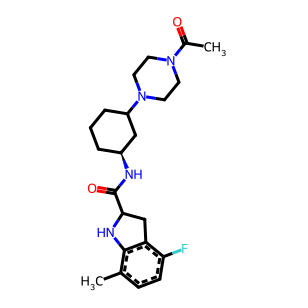 CC(=O)N1CCN(C2CCC[C@H](NC(=O)C3Cc4c(F)ccc(C)c4N3)C2)CC1